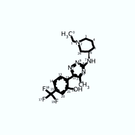 CCN1CCC[C@@H](Nc2nnc(-c3ccc(C(F)(F)F)cc3O)c(C)n2)C1